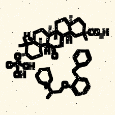 CC(COc1ccccc1Cc1ccccc1)N1CCCCC1.CC1(C)[C@@H](OP(=O)(O)O)CC[C@]2(C)[C@H]3C(=O)C=C4[C@@H]5C[C@@](C)(C(=O)O)CC[C@]5(C)CC[C@@]4(C)[C@]3(C)CC[C@@H]12